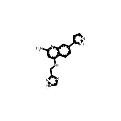 Nc1cc(NCc2nc[nH]n2)c2ccc(-c3ccn[nH]3)cc2n1